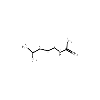 C=C(C)NCCOC(C)C